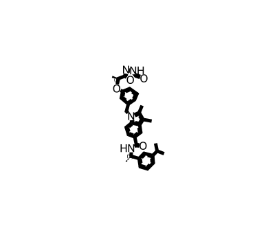 Cc1c(C)n(Cc2cccc(O[C@@H](C)c3n[nH]c(=O)o3)c2)c2ccc(C(=O)N[C@@H](C)c3cccc(C(C)C)c3)cc12